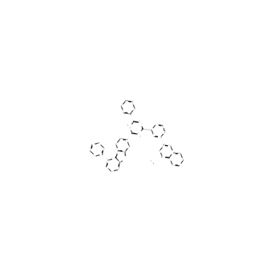 N#Cc1cc(-c2cccc(-c3nc(-c4ccccc4)nc(-c4ccc5c(c4)oc4cccc(-c6ccccc6)c45)n3)c2)cc2ccccc12